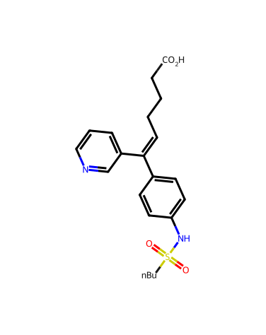 CCCCS(=O)(=O)Nc1ccc(C(=CCCCC(=O)O)c2cccnc2)cc1